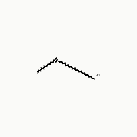 CCCCCCCCCCCCCCCCCCCCCCOS(=O)(=O)CCCCCCCCCCCC.[LiH]